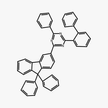 c1ccc(-c2nc(-c3ccc4c(c3)-c3ccccc3C4(c3ccccc3)c3ccccc3)nc(-c3ccccc3-c3ccccc3)n2)cc1